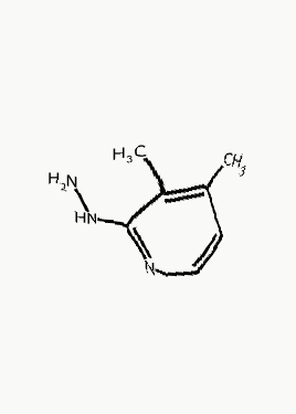 Cc1ccnc(NN)c1C